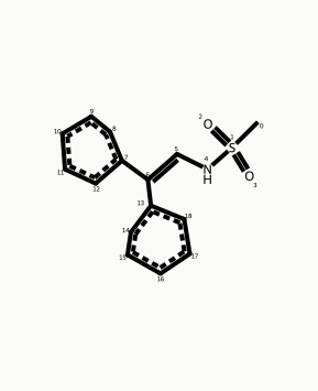 CS(=O)(=O)NC=C(c1ccccc1)c1ccccc1